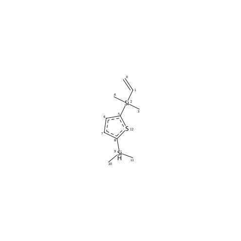 C=C[Si](C)(C)c1ccc([SiH](C)C)s1